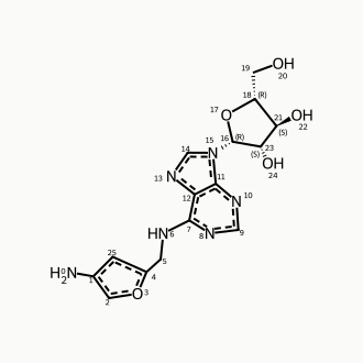 Nc1coc(CNc2ncnc3c2ncn3[C@@H]2O[C@H](CO)[C@@H](O)[C@@H]2O)c1